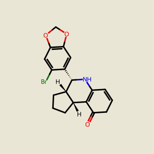 O=C1CC=CC2=C1[C@@H]1CCC[C@@H]1[C@H](c1cc3c(cc1Br)OCO3)N2